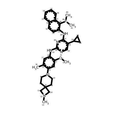 COc1cc(N2CCC3(CC2)CN(C)C3)c(C)cc1Nc1ncc(C2CC2)c(Nc2ccc3ccccc3c2P(C)C)n1